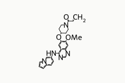 C=CC(=O)N1CCC(Oc2cc3c(Nc4ccc5cccn5c4)ncnc3cc2OC)CC1